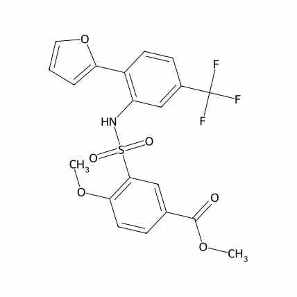 COC(=O)c1ccc(OC)c(S(=O)(=O)Nc2cc(C(F)(F)F)ccc2-c2ccco2)c1